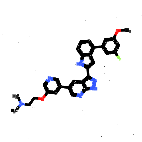 COc1cc(F)cc(-c2cccc3[nH]c(-c4n[nH]c5ncc(-c6cncc(OCCN(C)C)c6)cc45)cc23)c1